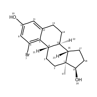 C[C@]12CC[C@@H]3c4c(Br)cc(O)cc4CC[C@H]3[C@@H]1CC[C@H]2O